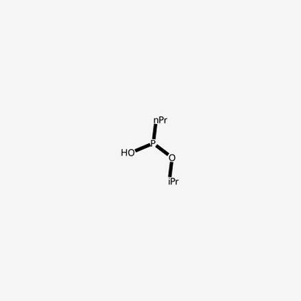 CCCP(O)OC(C)C